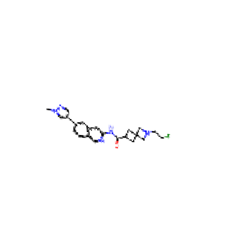 Cn1cc(-c2ccc3cnc(NC(=O)C4CC5(C4)CN(CCF)C5)cc3c2)cn1